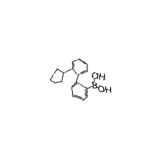 OB(O)c1ccccc1-c1ccccc1C1CCCC1